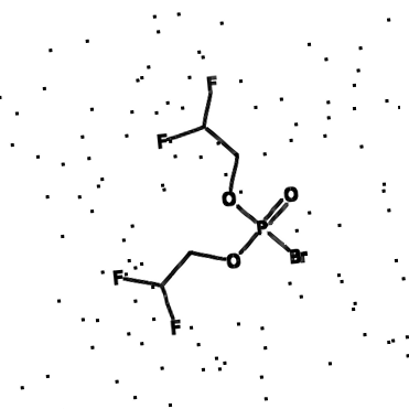 O=P(Br)(OCC(F)F)OCC(F)F